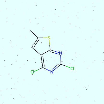 Cc1cc2c(Cl)nc(Cl)nc2s1